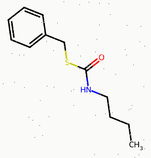 CCCCNC(=O)SCc1ccccc1